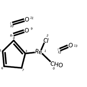 O=[CH][Re]([Cl])[C]1=CC=CC1.[C]=O.[C]=O.[C]=O